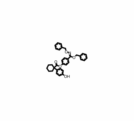 O=C(Oc1ccc(/C(=N\OCc2ccccc2)OCc2ccccc2)cc1)C1(c2ccc(O)cc2)CCCCC1